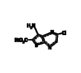 CCOC(=O)c1sc2ncc(Cl)nc2c1N